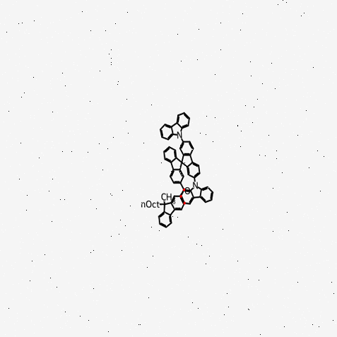 CCCCCCCCC1(C)c2ccccc2-c2ccc(C(=O)c3ccc4c(c3)C3(c5ccccc5-4)c4cc(-n5c6ccccc6c6ccccc65)ccc4-c4ccc(-n5c6ccccc6c6ccccc65)cc43)cc21